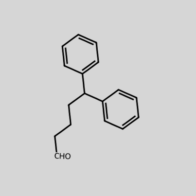 O=CCCCC(c1ccccc1)c1ccccc1